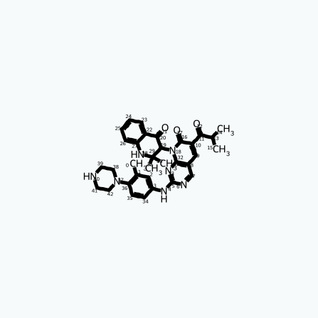 Cc1cc(Nc2ncc3cc(C(=O)C(C)C)c(=O)n(C4C(=O)c5ccccc5NC4(C)C)c3n2)ccc1N1CCNCC1